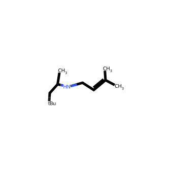 CC(C)=CCNC(C)CC(C)(C)C